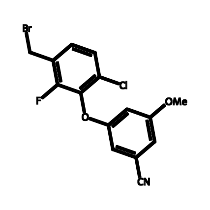 COc1cc(C#N)cc(Oc2c(Cl)ccc(CBr)c2F)c1